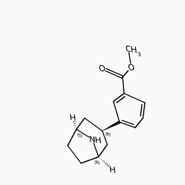 COC(=O)c1cccc([C@H]2C[C@H]3CC[C@@H](C2)N3)c1